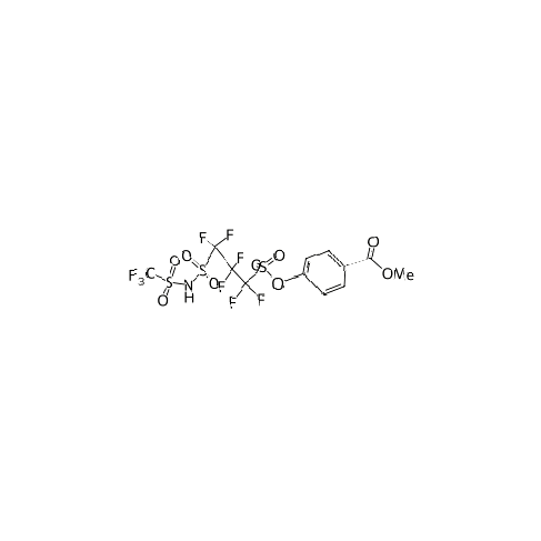 COC(=O)c1ccc(OS(=O)(=O)C(F)(F)C(F)(F)C(F)(F)S(=O)(=O)NS(=O)(=O)C(F)(F)F)cc1